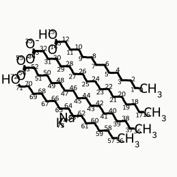 CCCCCCCCCCCCCC(=O)O.CCCCCCCCCCCCCCCCCC(=O)[O-].CCCCCCCCCCCCCCCCCC(=O)[O-].CCCCCCCCCCCCCCCCO.[K+].[Na+]